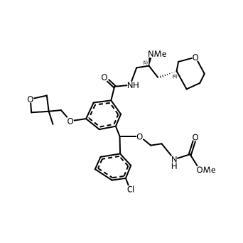 CN[C@H](CNC(=O)c1cc(OCC2(C)COC2)cc(C(OCCNC(=O)OC)c2cccc(Cl)c2)c1)C[C@H]1CCCOC1